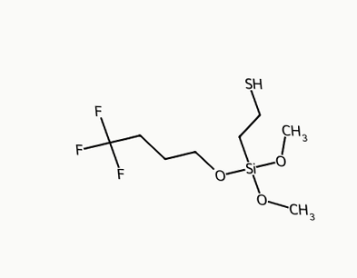 CO[Si](CCS)(OC)OCCCC(F)(F)F